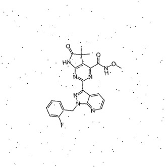 CONC(=O)c1nc(-c2nn(Cc3ccccc3F)c3ncccc23)nc2c1C(C)(C)C(=O)N2